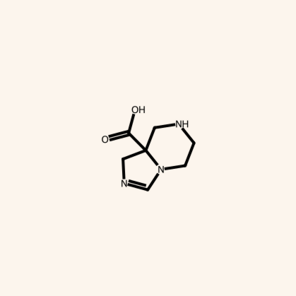 O=C(O)C12CN=CN1CCNC2